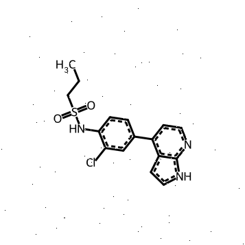 CCCS(=O)(=O)Nc1ccc(-c2ccnc3[nH]ccc23)cc1Cl